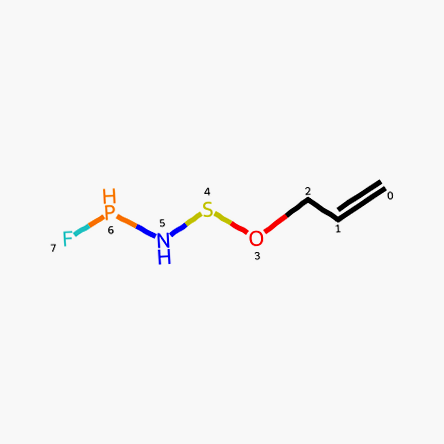 C=CCOSNPF